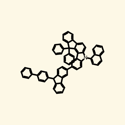 c1ccc(-c2ccc(C3c4ccccc4-c4cc(-c5ccc6c(c5)c5c7c(ccc5n6-c5cccc6ccccc56)-c5ccccc5C7(c5ccccc5)c5ccccc5)ccc43)cc2)cc1